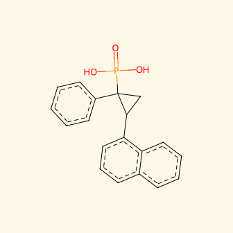 O=P(O)(O)C1(c2ccccc2)CC1c1cccc2ccccc12